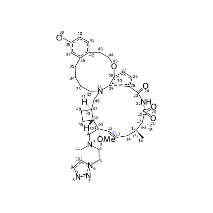 CO[C@@]1(CN2CCn3nncc3C2)/C=C/C[C@H](C)[C@@H](C)S(=O)(=O)NC(=O)c2ccc3c(c2)N(CCCCc2cc(Cl)ccc2CCO3)C[C@@H]2CC[C@H]21